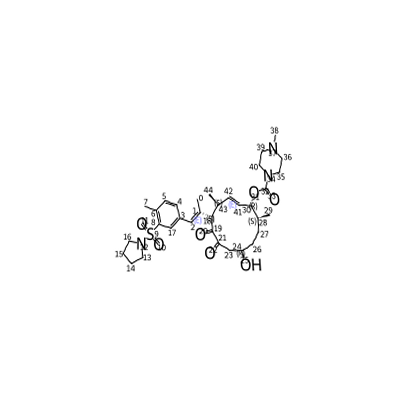 C/C(=C\c1ccc(C)c(S(=O)(=O)N2CCCC2)c1)[C@H]1C(=O)C(=O)C[C@H](O)CC[C@H](C)[C@@H](OC(=O)N2CCN(C)CC2)/C=C/[C@@H]1C